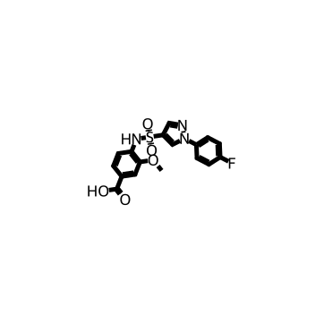 COc1cc(C(=O)O)ccc1NS(=O)(=O)c1cnn(-c2ccc(F)cc2)c1